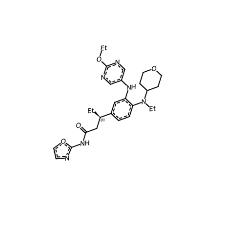 CCOc1ncc(Nc2cc([C@H](CC)CC(=O)Nc3ncco3)ccc2N(CC)C2CCOCC2)cn1